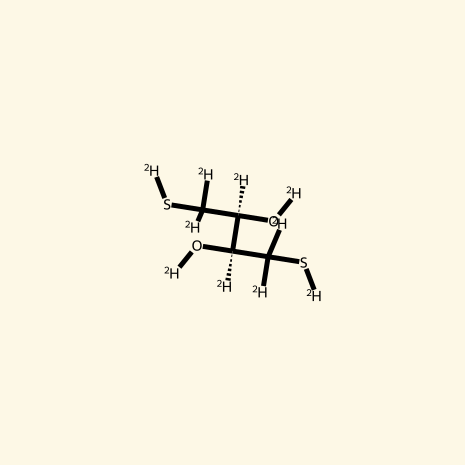 [2H]O[C@]([2H])(C([2H])([2H])S[2H])[C@]([2H])(O[2H])C([2H])([2H])S[2H]